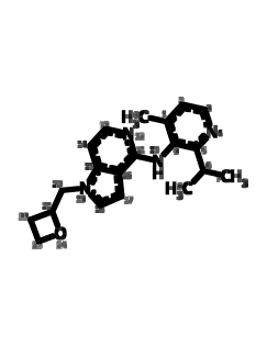 Cc1ccnc(C(C)C)c1Nc1nccc2c1ccn2CC1CCO1